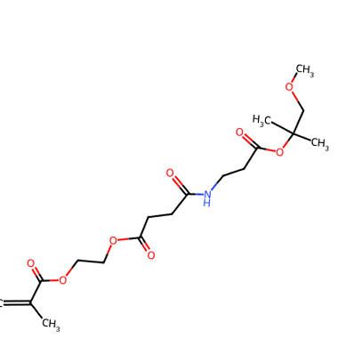 C=C(C)C(=O)OCCOC(=O)CCC(=O)NCCC(=O)OC(C)(C)COC